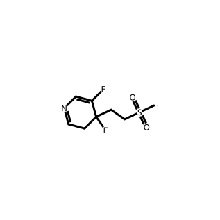 [CH2]S(=O)(=O)CCC1(F)CC=NC=C1F